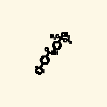 CC(C)(C)c1ccc(NC(=O)c2ccc(-c3nccs3)cc2)cc1